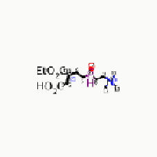 CCOC(=O)/C(=C\C(=O)O)CC[PH](=O)CC[N+](C)(C)C